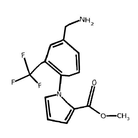 COC(=O)c1cccn1-c1ccc(CN)cc1C(F)(F)F